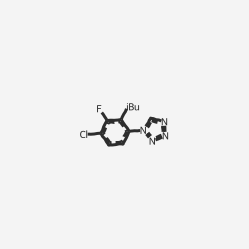 CCC(C)c1c(-n2cnnn2)ccc(Cl)c1F